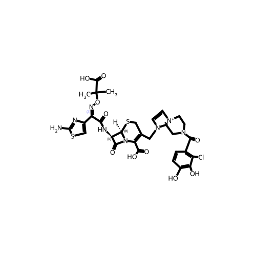 CC(C)(O/N=C(\C(=O)N[C@@H]1C(=O)N2C(C(=O)O)=C(Cn3cc[n+]4c3CN(C(=O)c3ccc(O)c(O)c3Cl)CC4)CS[C@H]12)c1csc(N)n1)C(=O)O